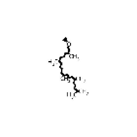 CC(C)=CCCC(C)=CCCC(C)=CCCC=C(C)CCC=C(C)CCOC1CC1